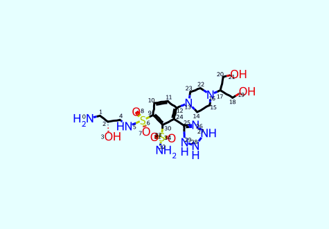 NC[C@@H](O)CNS(=O)(=O)c1ccc(N2CCN(C(CO)CO)CC2)c(C2=NNNN2)c1S(N)(=O)=O